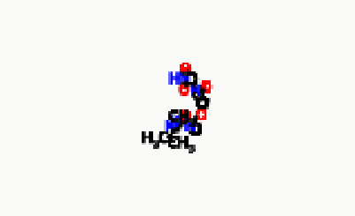 CC(C)c1cc(C(=O)N2CCCCC2COc2ccc3c(c2)CN(C2CCC(=O)NC2=O)C3=O)n(C)n1